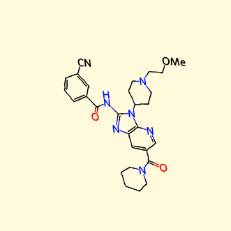 COCCN1CCC(n2c(NC(=O)c3cccc(C#N)c3)nc3cc(C(=O)N4CCCCC4)cnc32)CC1